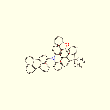 CC1(C)c2ccccc2-c2c(-c3ccccc3N(c3ccc(-c4cccc5cccc(-c6ccccc6)c45)cc3)c3ccccc3-c3ccc4oc5ccccc5c4c3)cccc21